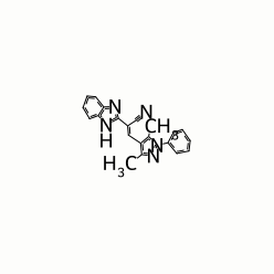 Cc1nn(-c2ccccc2)c(C)c1C=C(C#N)c1nc2ccccc2[nH]1